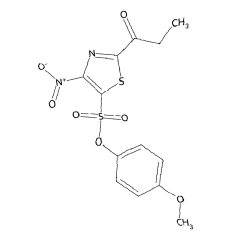 CCC(=O)c1nc([N+](=O)[O-])c(S(=O)(=O)Oc2ccc(OC)cc2)s1